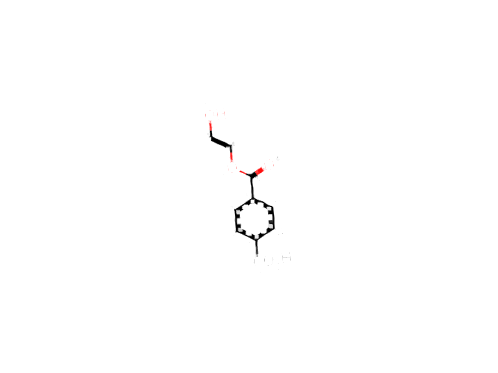 O=C(O)c1ccc(C(=O)OC=CO)cc1